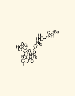 CC[C@]1(O)C(=O)OCc2c1cc1n(c2=O)Cc2c-1nc1ccc(C)c3c1c2[C@H](NC(=O)[C@H]1CCN1C(=O)OCc1ccc(NC(=O)[C@@H](N)CCCCNC(=O)OC(C)(C)C)cc1)CC3